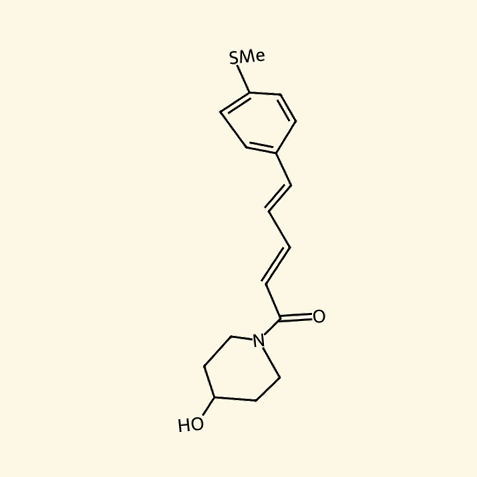 CSc1ccc(/C=C/C=C/C(=O)N2CCC(O)CC2)cc1